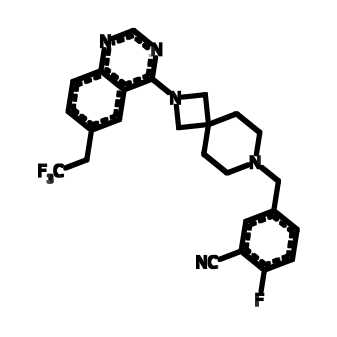 N#Cc1cc(CN2CCC3(CC2)CN(c2ncnc4ccc(CC(F)(F)F)cc24)C3)ccc1F